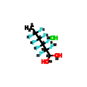 CC(F)(F)C(F)(F)C(F)(F)C(F)(F)C(O)O.Cl